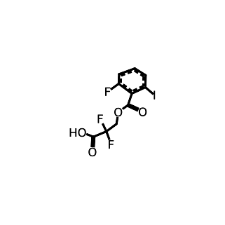 O=C(OCC(F)(F)C(=O)O)c1c(F)cccc1I